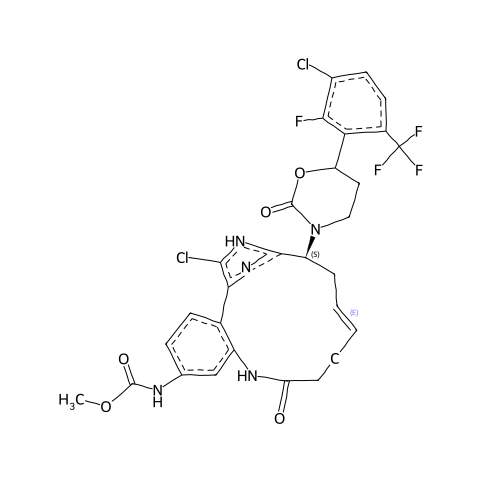 COC(=O)Nc1ccc2c(c1)NC(=O)CC/C=C/C[C@H](N1CCC(c3c(C(F)(F)F)ccc(Cl)c3F)OC1=O)c1nc-2c(Cl)[nH]1